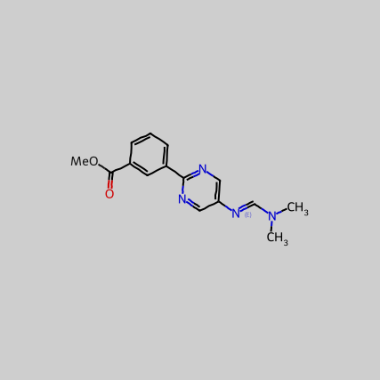 COC(=O)c1cccc(-c2ncc(/N=C/N(C)C)cn2)c1